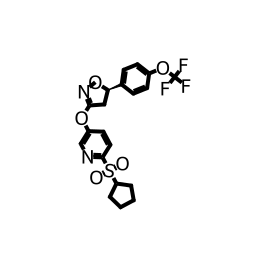 O=S(=O)(c1ccc(OC2=NO[C@@H](c3ccc(OC(F)(F)F)cc3)C2)cn1)C1CCCC1